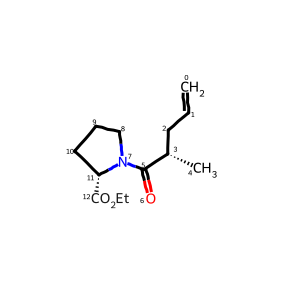 C=CC[C@H](C)C(=O)N1CCC[C@H]1C(=O)OCC